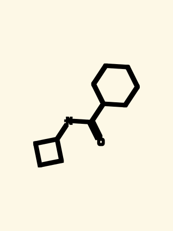 O=C([N]C1CCC1)C1CCCCC1